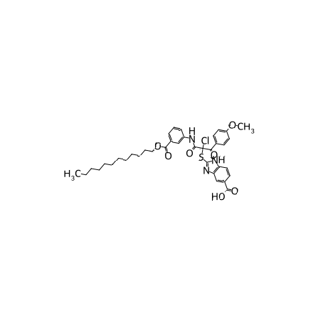 CCCCCCCCCCCCOC(=O)c1cccc(NC(=O)C(Cl)(Sc2nc3cc(C(=O)O)ccc3[nH]2)C(=O)c2ccc(OC)cc2)c1